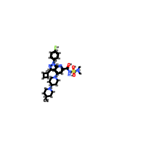 CN(C)S(=O)(=O)NC(=O)c1cc(N2CCC(N3CCC(C#N)CC3)CC2)c2c(C3CCC3)nn(-c3ccc(F)cc3)c2n1